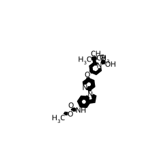 CCOC(=O)Nc1ccc2c(ccn2-c2ccc(OC3CCN(C(=O)O)C(C(C)(C)C)C3)cn2)c1